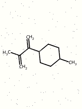 C=C(C)C(=C)C1CCC(C)CC1